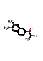 Cc1cc2ccc(C(=O)C(C)C)cc2cc1C